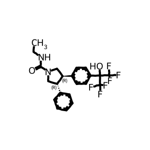 CCNC(=O)N1C[C@@H](c2ccccc2)[C@H](c2ccc(C(O)(C(F)(F)F)C(F)(F)F)cc2)C1